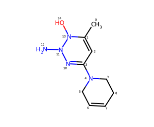 CC1=CC(N2CC=CCC2)=NN(N)N1O